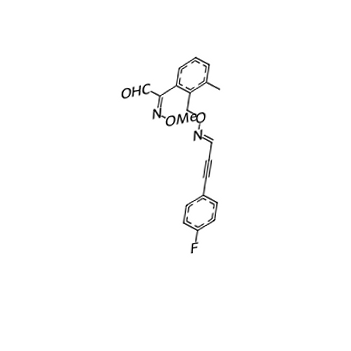 CO/N=C(/C=O)c1cccc(C)c1CO/N=C/C#Cc1ccc(F)cc1